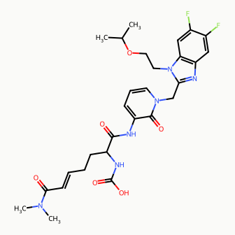 CC(C)OCCn1c(Cn2cccc(NC(=O)C(CCC=CC(=O)N(C)C)NC(=O)O)c2=O)nc2cc(F)c(F)cc21